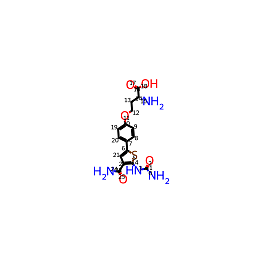 NC(=O)Nc1sc(-c2ccc(OCC[C@@H](N)C(=O)O)cc2)cc1C(N)=O